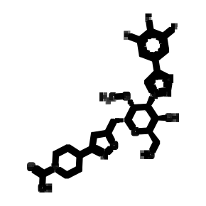 CO[C@@H]1[C@@H](n2cc(-c3cc(F)c(F)c(F)c3)nn2)[C@@H](O)[C@@H](CO)O[C@@H]1CC1CC(C2CCN(C(=O)O)CC2)=NO1